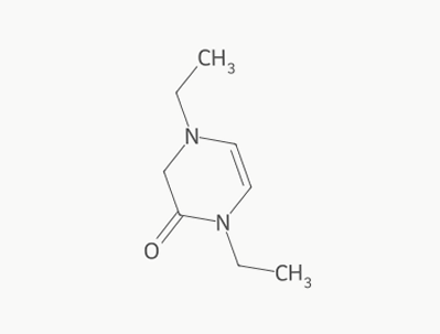 CCN1C=CN(CC)C(=O)C1